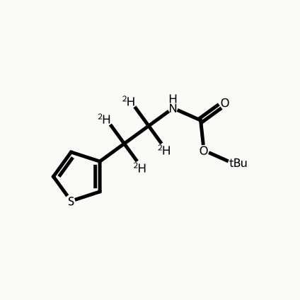 [2H]C([2H])(NC(=O)OC(C)(C)C)C([2H])([2H])c1ccsc1